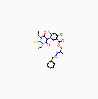 CCN1C(=O)N(c2cc(C(=O)OCC(C)=NOCc3ccccc3)c(Cl)cc2F)C(=O)N(CC)C1S